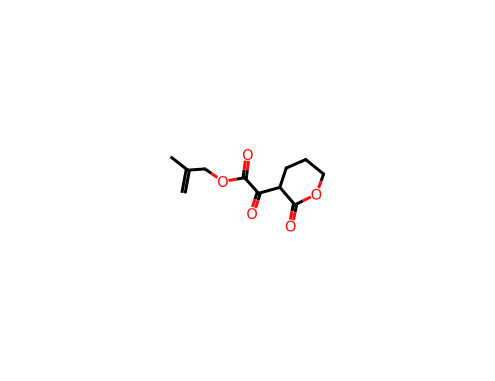 C=C(C)COC(=O)C(=O)C1CCCOC1=O